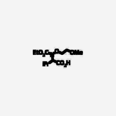 CCOC(=O)N(OCCOC)C(C(=O)O)C(C)C